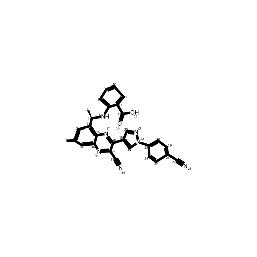 Cc1cc([C@@H](C)Nc2ccccc2C(=O)O)c2nc(-c3cnn(-c4ccc(C#N)cc4)c3)c(C#N)nc2c1